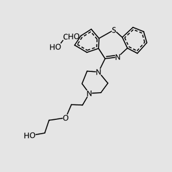 O=CO.OCCOCCN1CCN(C2=Nc3ccccc3Sc3ccccc32)CC1